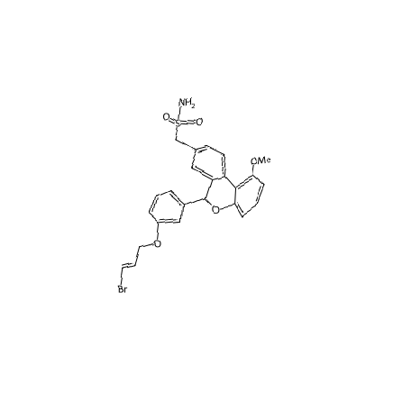 COc1cccc2c1-c1ccc(CS(N)(=O)=O)cc1C(c1cccc(OCC=CBr)c1)O2